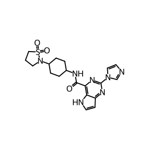 O=C(NC1CCC(N2CCCS2(=O)=O)CC1)c1nc(-n2ccnc2)nc2cc[nH]c12